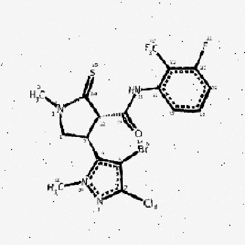 CN1C[C@H](c2c(Br)c(Cl)nn2C)[C@@H](C(=O)Nc2cccc(F)c2C(F)(F)F)C1=S